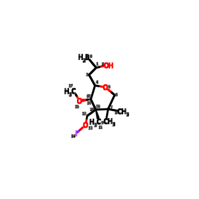 BC(O)CC1OCC(C)(C)[C@](C)(COI)[C@H]1OC